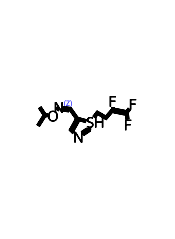 CC(C)O/N=C\C1=CN=C[SH]1CCC(F)=C(F)F